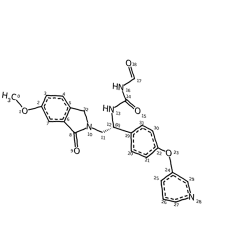 COc1ccc2c(c1)C(=O)N(C[C@H](NC(=O)NC=O)c1ccc(Oc3cccnc3)cc1)C2